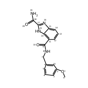 COc1cccc(CNC(=O)c2cccc3nc(C(N)=O)[nH]c23)c1